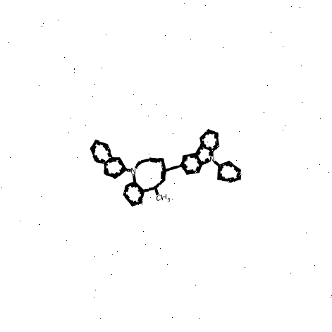 CC1/C=C(c2ccc3c(c2)c2ccccc2n3-c2ccccc2)\C=C/CN(c2ccc3ccccc3c2)c2ccccc21